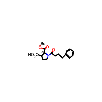 CC(C)(C)OC(=O)[C@@H]1C(C(=O)O)CCN1C(=O)CCCc1ccccc1